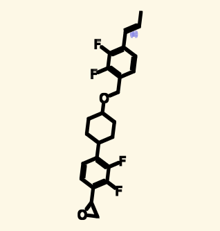 C/C=C/c1ccc(COC2CCC(c3ccc(C4CO4)c(F)c3F)CC2)c(F)c1F